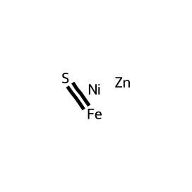 [Ni].[S]=[Fe].[Zn]